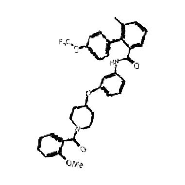 COc1ccccc1C(=O)N1CCC(Oc2cccc(NC(=O)c3cccc(C)c3-c3ccc(OC(F)(F)F)cc3)c2)CC1